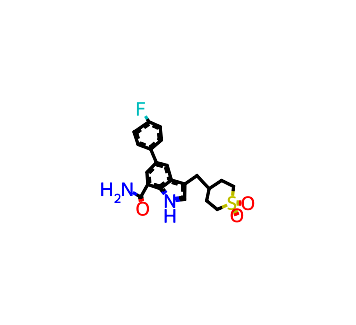 NC(=O)c1cc(-c2ccc(F)cc2)cc2c(CC3CCS(=O)(=O)CC3)c[nH]c12